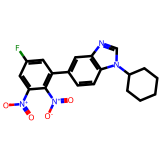 O=[N+]([O-])c1cc(F)cc(-c2ccc3c(c2)ncn3C2CCCCC2)c1[N+](=O)[O-]